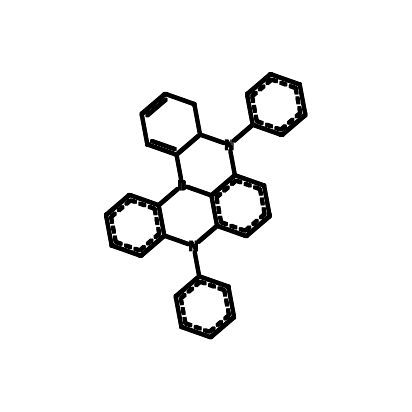 C1=CCC2C(=C1)B1c3ccccc3N(c3ccccc3)c3cccc(c31)N2c1ccccc1